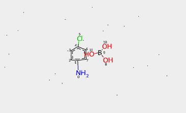 Nc1ccc(Cl)cc1.OB(O)O